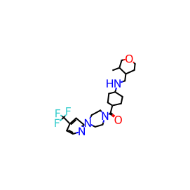 CC1COCCC1CNC1CCC(C(=O)N2CCN(c3cc(C(F)(F)F)ccn3)CC2)CC1